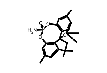 Cc1cc2c3c(c1)C(C)(C)CC31CC(C)(C)c3cc(C)cc(c31)OP(N)(=O)O2